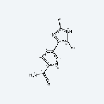 Cc1nc(-c2ccc(C(N)=O)cc2)c(C)[nH]1